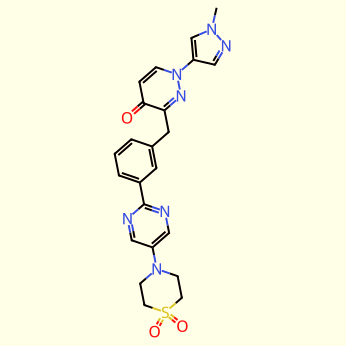 Cn1cc(-n2ccc(=O)c(Cc3cccc(-c4ncc(N5CCS(=O)(=O)CC5)cn4)c3)n2)cn1